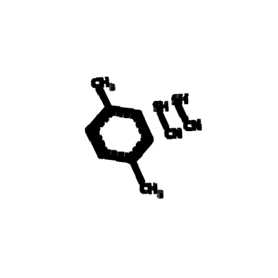 Cc1ccc(C)cc1.N#CS.N#CS